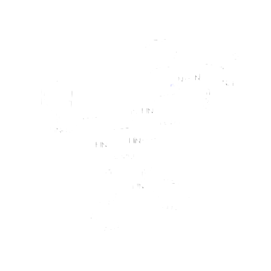 O=C1CN(/N=C/C(Cc2ccccc2)NC(=O)C(Cc2c[nH]c3ccccc23)NC(=O)C(Cc2c[nH]c3ccccc23)NC(=O)OCc2ccccc2)C(=O)N1